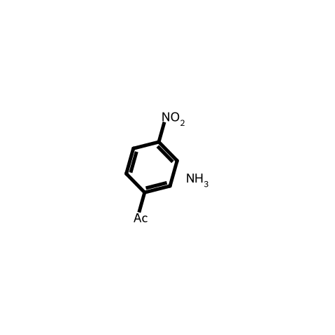 CC(=O)c1ccc([N+](=O)[O-])cc1.N